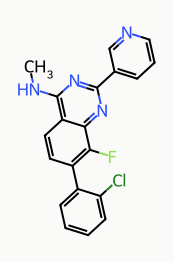 CNc1nc(-c2cccnc2)nc2c(F)c(-c3ccccc3Cl)ccc12